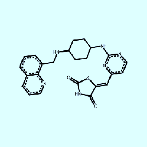 O=C1NC(=O)C(=Cc2ccnc(NC3CCC(NCc4cccc5cccnc45)CC3)n2)S1